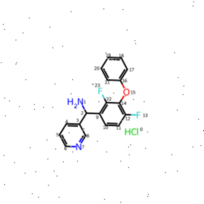 Cl.NC(c1cccnc1)c1ccc(F)c(Oc2ccccc2)c1F